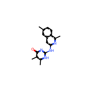 Cc1ccc2c(C)nc(Nc3nc(=O)c(C)c(C)[nH]3)cc2c1